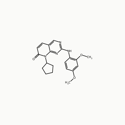 COc1ccc(Nc2ncc3ccc(=O)n(C4CCCC4)c3n2)c(OC)c1